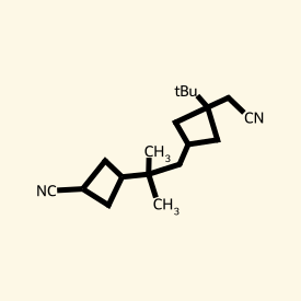 CC(C)(CC1CC(CC#N)(C(C)(C)C)C1)C1CC(C#N)C1